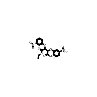 CCOC(=O)C(Oc1cccc([N+](=O)[O-])c1)C(Oc1cccc([N+](=O)[O-])c1)C(N)=O